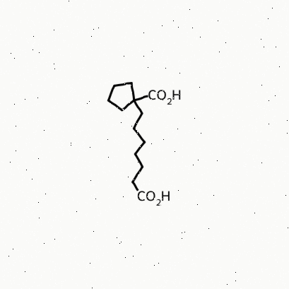 O=C(O)CCCCCCC1(C(=O)O)CCCC1